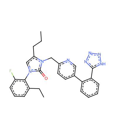 CCCc1cn(-c2c(F)cccc2CC)c(=O)n1Cc1ccc(-c2ccccc2-c2nnn[nH]2)cn1